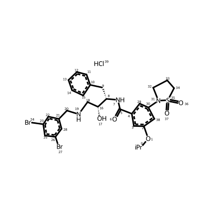 CC(C)Oc1cc(C(=O)N[C@@H](Cc2ccccc2)[C@H](O)CNCc2cc(Br)cc(Br)c2)cc(N2CCCS2(=O)=O)c1.Cl